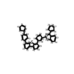 c1ccc(-c2ccc(-c3cccc4c3sc3c(-c5cccc(-c6nc(-c7ccccc7)c7ccccc7n6)c5)cccc34)cc2)cc1